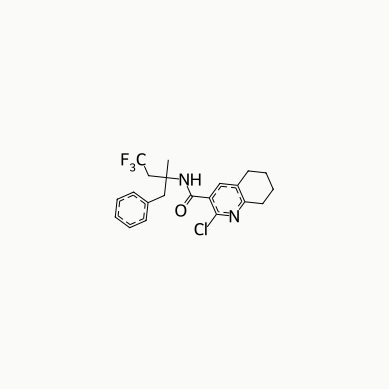 CC(Cc1ccccc1)(CC(F)(F)F)NC(=O)c1cc2c(nc1Cl)CCCC2